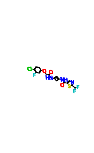 O=C(COc1ccc(Cl)c(F)c1)NC12CC(NC(=O)c3cnc(C(F)F)s3)(C1)C2